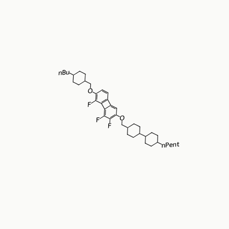 CCCCCC1CCC(C2CCC(COc3cc4c(c(F)c3F)-c3c-4ccc(OCC4CCC(CCCC)CC4)c3F)CC2)CC1